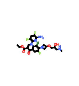 CCOC(=O)c1cn(-c2nc(N)c(F)cc2F)c2c(Cl)c(N3CC(OCC(O)CNC)C3)c(F)cc2c1=O